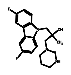 CC(O)(CN1CCCNS1)Cn1c2ccc(F)cc2c2cc(F)ccc21